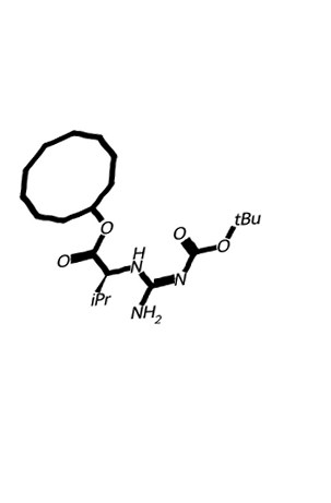 CC(C)[C@H](N/C(N)=N\C(=O)OC(C)(C)C)C(=O)OC1CCCCCCCCC1